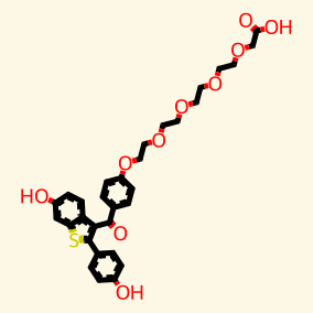 O=C(O)COCCOCCOCCOCCOc1ccc(C(=O)c2c(-c3ccc(O)cc3)sc3cc(O)ccc23)cc1